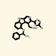 CCc1noc(-c2ncc3[nH]c4cccc(OC(C)c5ccccc5)c4c3c2COC)n1